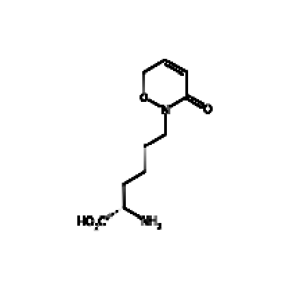 N[C@@H](CCCCN1OCC=CC1=O)C(=O)O